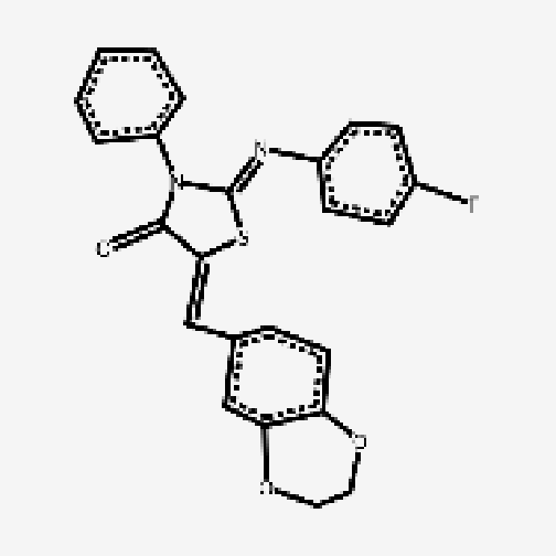 O=C1/C(=C/c2ccc3c(c2)OCCO3)S/C(=N\c2ccc(F)cc2)N1c1ccccc1